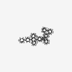 c1ccc(-c2ccc(-c3c4ccccc4c(-c4ccc(-n5c6ccccc6c6cc(-c7ccccc7-c7ccccc7)ccc65)cc4)c4ccccc34)cc2)cc1